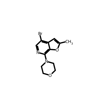 Cc1cc2c(Br)cnc(N3CCOCC3)c2o1